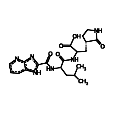 CC(C)CC(NC(=O)c1nc2ncccc2[nH]1)C(=O)NC(C[C@@H]1CCNC1=O)C(=O)O